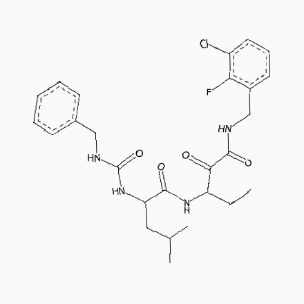 CCC(NC(=O)C(CC(C)C)NC(=O)NCc1ccccc1)C(=O)C(=O)NCc1cccc(Cl)c1F